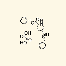 O=C(O)C(=O)O.O=C(OCc1ccccc1)[C@@H]1CC[C@H](NOCc2ccccc2)CN1